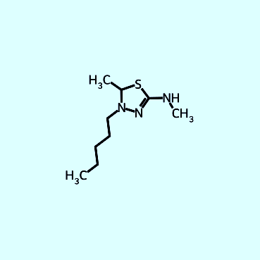 CCCCCN1N=C(NC)SC1C